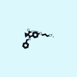 COC(=O)C1(/C(=N\Cc2ccccc2)c2ccc(OCCCC(F)(F)F)cc2)CC1